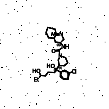 CCC(O)CCC[C@@](O)(c1cccc(Cl)c1)[C@@H]1CCCN(C(=O)N[C@H](CNC)CC2CCCCC2)C1